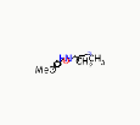 C=C(CC/C=C\C)CCNOCc1ccc(OC)cc1